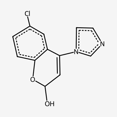 OC1C=C(n2ccnc2)c2cc(Cl)ccc2O1